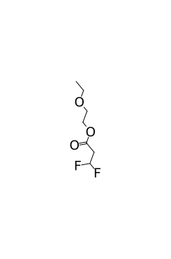 CCOCCOC(=O)CC(F)F